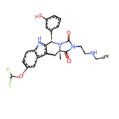 CC(C)CNCCN1C(=O)N2[C@H](c3cccc(O)c3)c3[nH]c4ccc(OC(F)F)cc4c3C[C@@]2(C)C1=O